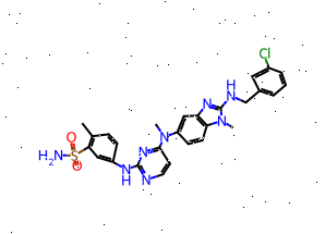 Cc1ccc(Nc2nccc(N(C)c3ccc4c(c3)nc(NCc3cccc(Cl)c3)n4C)n2)cc1S(N)(=O)=O